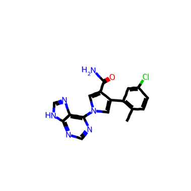 Cc1ccc(Cl)cc1-c1cn(-c2ncnc3[nH]cnc23)cc1C(N)=O